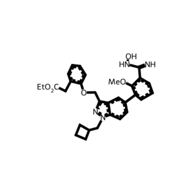 CCOC(=O)Cc1ccccc1OCc1nn(CC2CCC2)c2ccc(-c3cccc(C(=N)NO)c3OC)cc12